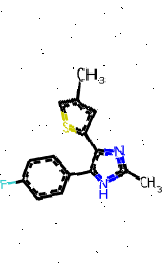 Cc1csc(-c2nc(C)[nH]c2-c2ccc(F)cc2)c1